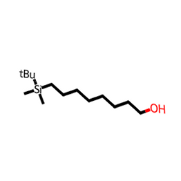 CC(C)(C)[Si](C)(C)CCCCCCCCO